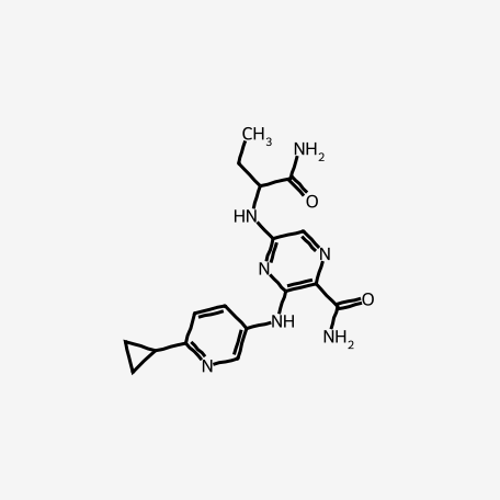 CCC(Nc1cnc(C(N)=O)c(Nc2ccc(C3CC3)nc2)n1)C(N)=O